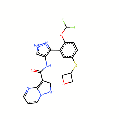 O=C(Nc1c[nH]nc1-c1cc(SC2COC2)ccc1OC(F)F)C1=C2N=CC=CN2NC1